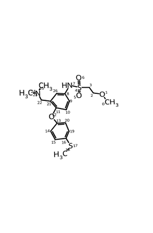 COCCS(=O)(=O)Nc1ccc(Oc2ccc(SC)cc2)c(CN(C)C)c1